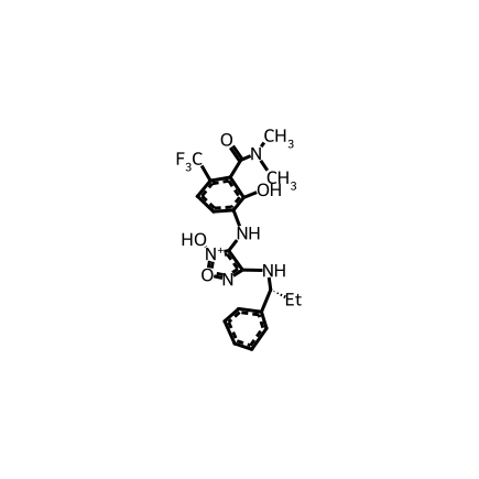 CC[C@@H](Nc1no[n+](O)c1Nc1ccc(C(F)(F)F)c(C(=O)N(C)C)c1O)c1ccccc1